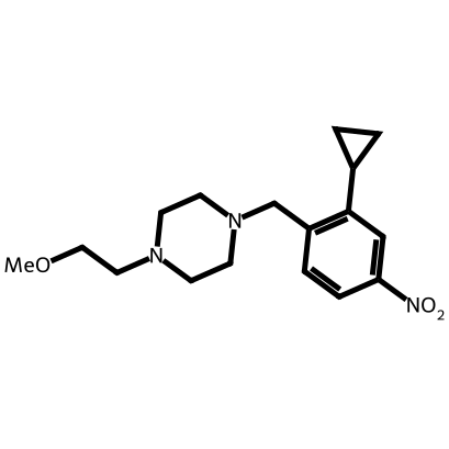 COCCN1CCN(Cc2ccc([N+](=O)[O-])cc2C2CC2)CC1